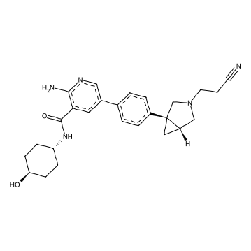 N#CCCN1C[C@@H]2C[C@]2(c2ccc(-c3cnc(N)c(C(=O)N[C@H]4CC[C@H](O)CC4)c3)cc2)C1